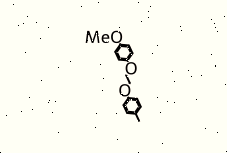 COc1ccc(OCCOc2ccc(C)cc2)cc1